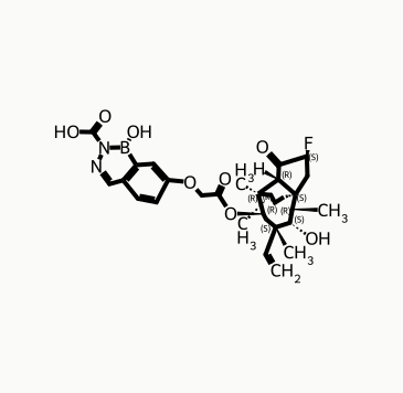 C=C[C@]1(C)C[C@@H](OC(=O)COc2ccc3c(c2)B(O)N(C(=O)O)N=C3)[C@]2(C)[C@H](C)CC[C@]3(C[C@H](F)C(=O)[C@H]32)[C@@H](C)[C@@H]1O